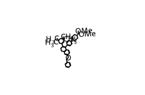 COC(OC)C1CCN(c2ccc(C3=C(C4=CC(C)(C)CC(C)(C)C4)CCc4cc(OCc5ccccc5)ccc43)cc2)CC1